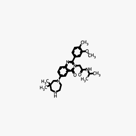 COc1cc(-c2nc3ccc(N4CCNCC(C)(C)C4)cc3c(=O)n2CC(=O)NC(C)C)ccc1C